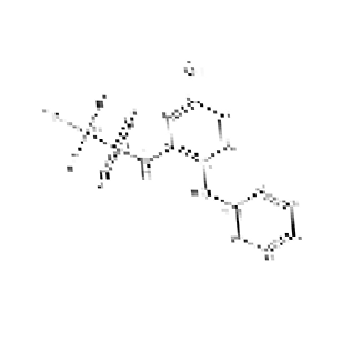 O=S(=O)(Nc1cc(O)ccc1Oc1ccccc1)C(F)(F)F